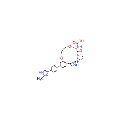 Cc1nc(-c2ccc(-c3ccc4c(c3)OCCCCOC[C@H](NC(=O)O)C(=O)N3CCC[C@H]3c3nc-4c[nH]3)cc2)c[nH]1